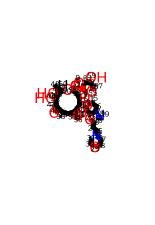 CO[C@]1(C)C[C@H](O[C@H]2[C@H](C)[C@@H](O[C@@H]3O[C@H](C)C[C@H](N(C)C)[C@H]3OCCCN3CCOCC3)[C@@](C)(OC)C[C@@H](C)C(=O)[C@H](C)[C@@H](O)[C@@]3(O)C(C)[C@H]3OC(=O)[C@@H]2C)O[C@@H](C)[C@@H]1O